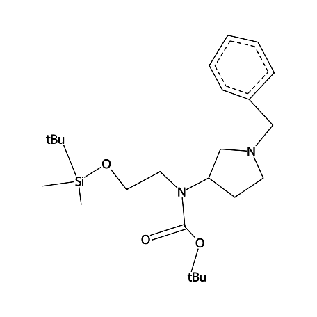 CC(C)(C)OC(=O)N(CCO[Si](C)(C)C(C)(C)C)C1CCN(Cc2ccccc2)C1